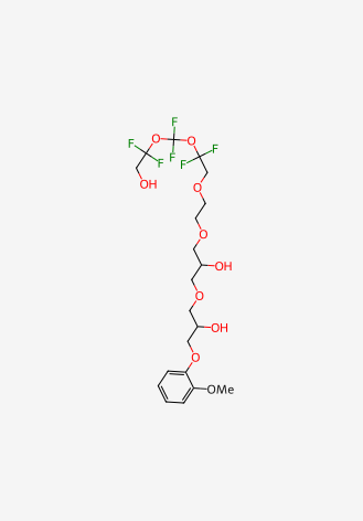 COc1ccccc1OCC(O)COCC(O)COCCOCC(F)(F)OC(F)(F)OC(F)(F)CO